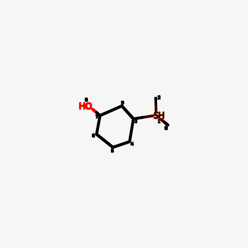 C[SH](C)C1CCCC(O)C1